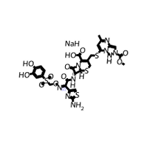 COC(=O)N1C=C2N=C(C)C=C(SCC3=C(C(=O)O)N4C(=O)[C@@H](NC(=O)/C(=N\OCS(=O)(=O)c5ccc(O)c(O)c5)c5csc(N)n5)[C@H]4SC3)N2N1.[NaH]